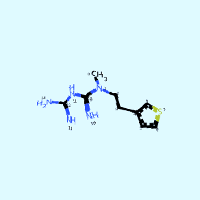 CN(CCc1ccsc1)C(=N)NC(=N)N